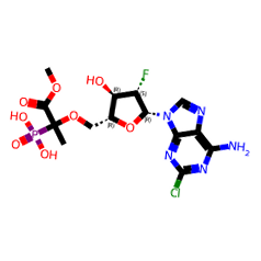 COC(=O)C(C)(OC[C@H]1O[C@@H](n2cnc3c(N)nc(Cl)nc32)[C@@H](F)[C@@H]1O)P(=O)(O)O